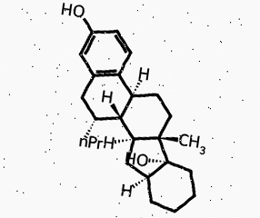 CCC[C@@H]1Cc2cc(O)ccc2[C@H]2CC[C@@]3(C)[C@@H](C[C@@H]4CCCC[C@@]43O)[C@H]12